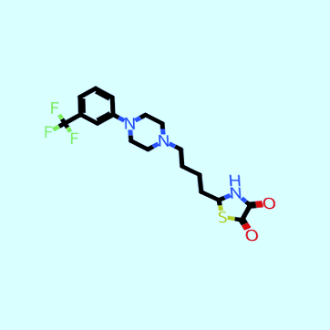 O=C1NC(CCCCN2CCN(c3cccc(C(F)(F)F)c3)CC2)SC1=O